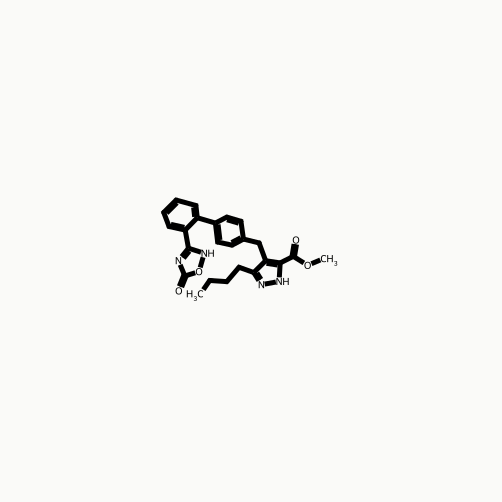 CCCCc1n[nH]c(C(=O)OC)c1Cc1ccc(-c2ccccc2-c2nc(=O)o[nH]2)cc1